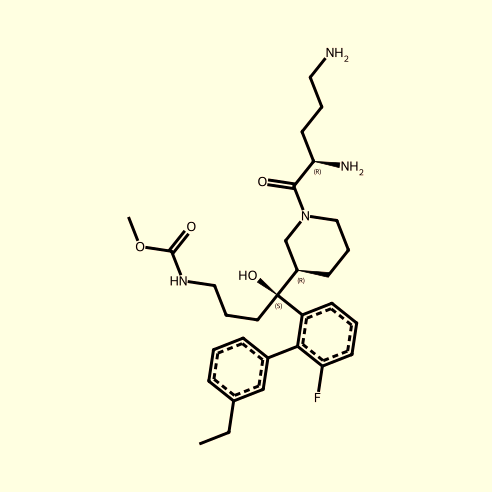 CCc1cccc(-c2c(F)cccc2[C@](O)(CCCNC(=O)OC)[C@@H]2CCCN(C(=O)[C@H](N)CCCN)C2)c1